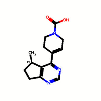 C[C@@H]1CCc2ncnc(C3=CCN(C(=O)O)CC3)c21